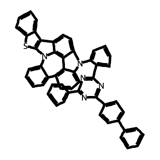 c1ccc(-c2ccc(-c3nc(-c4ccccc4)nc(-c4ccccc4-n4c5cccc6c7ccccc7n7c8sc9ccccc9c8c8ccc4c(c65)c87)n3)cc2)cc1